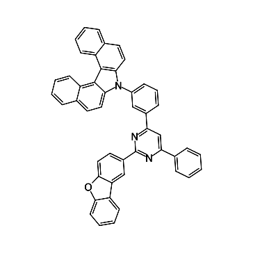 c1ccc(-c2cc(-c3cccc(-n4c5ccc6ccccc6c5c5c6ccccc6ccc54)c3)nc(-c3ccc4oc5ccccc5c4c3)n2)cc1